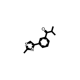 Cc1nc(-c2cccc(C(=O)C(C)C)c2)cs1